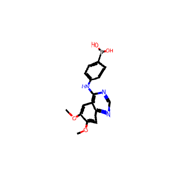 COc1cc2ncnc(Nc3ccc(B(O)O)cc3)c2cc1OC